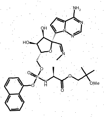 C/N=C\[C@@]1(c2ccc3c(N)ncnn23)O[C@H](COP(=O)(N[C@@H](C)C(=O)OCC(C)(C)OC)Oc2cccc3ccccc23)[C@@H](O)[C@H]1O